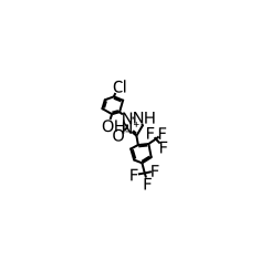 [O-][N+]1=C(c2ccc(C(F)(F)F)cc2C(F)(F)F)CNN1c1cc(Cl)ccc1O